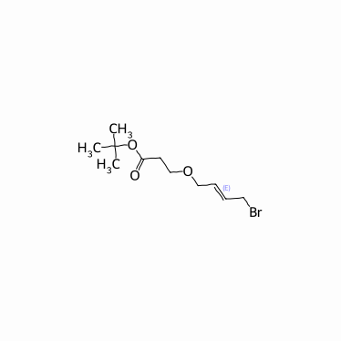 CC(C)(C)OC(=O)CCOC/C=C/CBr